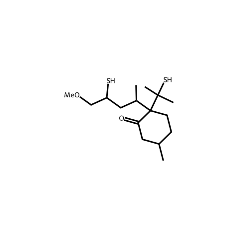 COCC(S)CC(C)C1(C(C)(C)S)CCC(C)CC1=O